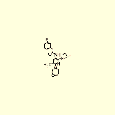 Cc1cc(NC(=O)Cc2cccc(F)c2)c(N2CC[C@@H](F)C2)nc1N1CCCOCC1